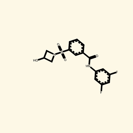 O=C(Nc1cc(F)cc(F)c1)c1cccc(S(=O)(=O)N2CC(O)C2)c1